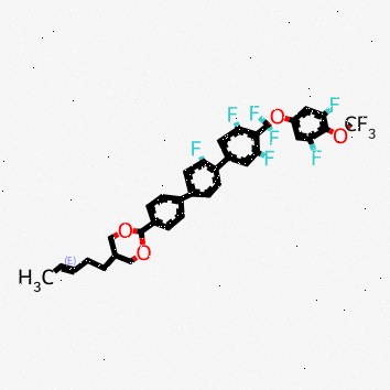 C/C=C/CCC1COC(c2ccc(-c3ccc(-c4cc(F)c(C(F)(F)Oc5cc(F)c(OC(F)(F)F)c(F)c5)c(F)c4)c(F)c3)cc2)OC1